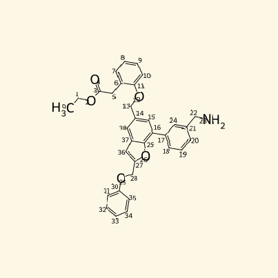 CCOC(=O)Cc1ccccc1OCc1cc(-c2cccc(CN)c2)c2oc(COc3ccccc3)cc2c1